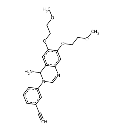 C#Cc1cccc(N2C=Nc3cc(OCCOC)c(OCCOC)cc3C2N)c1